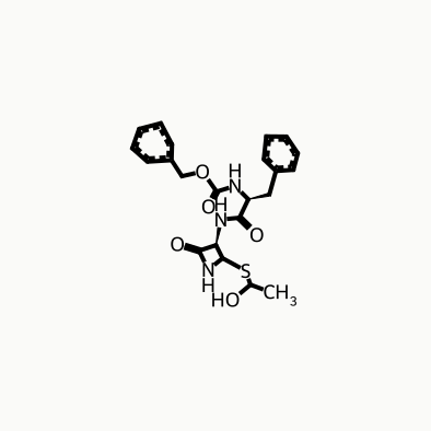 CC(O)SC1NC(=O)[C@H]1NC(=O)[C@H](Cc1ccccc1)NC(=O)OCc1ccccc1